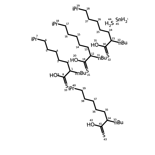 CCCCC(CCCCCC(C)C)C(O)=S.CCCCC(CCCCCC(C)C)C(O)=S.CCCCC(CCCCCC(C)C)C(O)=S.CCCCC(CCCCCC(C)C)C(O)=S.S.[SnH2]